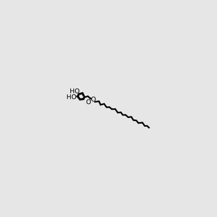 CCCCCCCCCCCCCCCCCCCCCOC(=O)Cc1ccc(O)c(O)c1